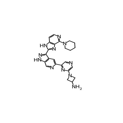 NC1CN(c2cncc(-c3cc4c(-c5nc6c(N7CCCCC7)nccc6[nH]5)n[nH]c4cn3)n2)C1